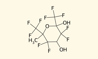 CC1(C(F)(F)F)OC(O)(C(F)(F)F)C(F)(F)C(O)C1(F)F